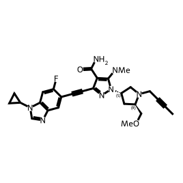 CC#CCN1C[C@@H](n2nc(C#Cc3cc4ncn(C5CC5)c4cc3F)c(C(N)=O)c2NC)C[C@@H]1COC